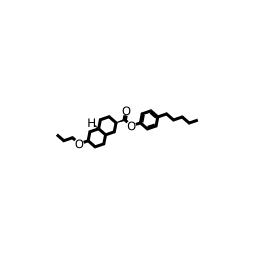 CCCCCc1ccc(OC(=O)[C@@H]2CC[C@@H]3CC(OCCC)CCC3C2)cc1